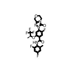 Cc1cc(F)cc(F)c1NC(=O)c1cc(F)c(-n2nc3n(c2=O)CCOC3)cc1O[C@@H](C)C(F)(F)F